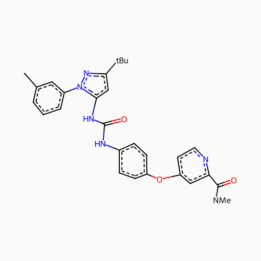 CNC(=O)c1cc(Oc2ccc(NC(=O)Nc3cc(C(C)(C)C)nn3-c3cccc(C)c3)cc2)ccn1